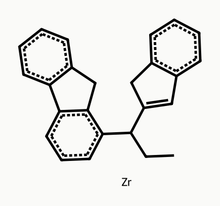 CCC(C1=Cc2ccccc2C1)c1cccc2c1Cc1ccccc1-2.[Zr]